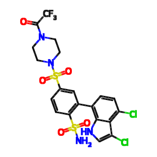 NS(=O)(=O)c1ccc(S(=O)(=O)N2CCN(C(=O)C(F)(F)F)CC2)cc1-c1ccc(Cl)c2c(Cl)c[nH]c12